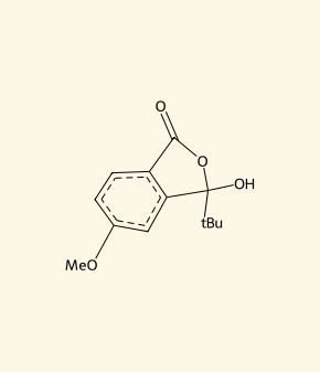 COc1ccc2c(c1)C(O)(C(C)(C)C)OC2=O